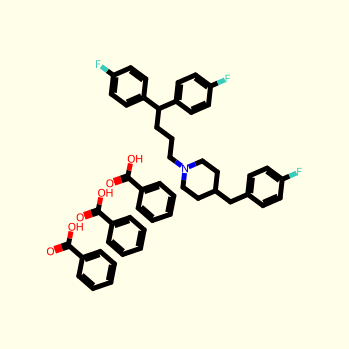 Fc1ccc(CC2CCN(CCCC(c3ccc(F)cc3)c3ccc(F)cc3)CC2)cc1.O=C(O)c1ccccc1.O=C(O)c1ccccc1.O=C(O)c1ccccc1